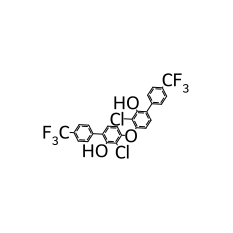 Oc1c(-c2ccc(C(F)(F)F)cc2)ccc(Oc2ccc(-c3ccc(C(F)(F)F)cc3)c(O)c2Cl)c1Cl